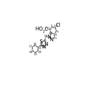 O=C(O)c1cc(Cl)cc2cnn(Cc3nnc(-c4ccccc4)s3)c12